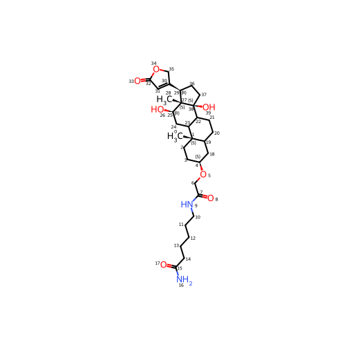 C[C@]12CC[C@H](OCC(=O)NCCCCCC(N)=O)CC1CCC1C2C[C@@H](O)[C@]2(C)[C@@H](C3=CC(=O)OC3)CC[C@]12O